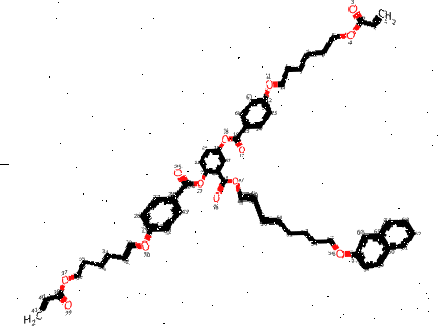 C=CC(=O)OCCCCCCOc1ccc(C(=O)Oc2ccc(OC(=O)c3ccc(OCCCCCCOC(=O)C=C)cc3)c(C(=O)OCCCCCCCCOc3ccc4ccccc4c3)c2)cc1